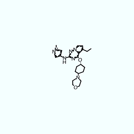 CCc1ccn2nc(Nc3cnn(C)c3)nc(O[C@H]3CC[C@H](N4CCOCC4)CC3)c12